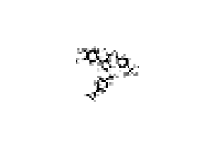 CC(Oc1ccc(C(F)(F)F)cn1)C1CN(C(=O)c2cnc(C3CC3)nc2)CC1c1ccc(Cl)c(Cl)c1